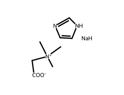 C[N+](C)(C)CC(=O)[O-].[NaH].c1c[nH]cn1